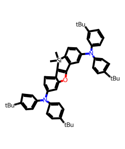 CC(C)(C)c1ccc(N(c2cccc(C(C)(C)C)c2)c2ccc3c(c2)-c2oc4cc(N(c5ccc(C(C)(C)C)cc5)c5ccc(C(C)(C)C)cc5)ccc4c2[Si]3(C)C)cc1